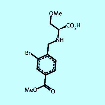 COC[C@H](NCc1ccc(C(=O)OC)cc1Br)C(=O)O